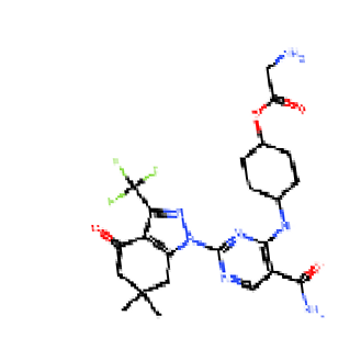 CC1(C)CC(=O)c2c(C(F)(F)F)nn(-c3ncc(C(N)=O)c(NC4CCC(OC(=O)CN)CC4)n3)c2C1